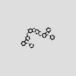 Cc1cc2c(cc1Cc1ccc3c(c1)c1ccccc1n3-c1ccccc1)-c1cc(Cc3ccc4c(c3)c3ccccc3n4-c3ccccc3)c(C)cc1C2